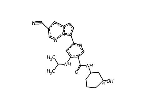 CC(C)Nc1cc(-c2ccc3cc(C#N)cnn23)ncc1C(=O)NC1CCC[C@H](O)C1